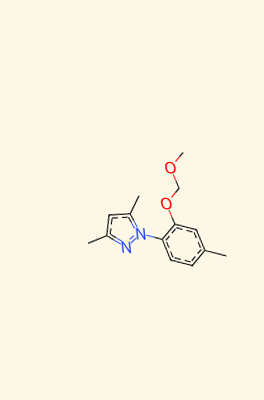 COCOc1cc(C)ccc1-n1nc(C)cc1C